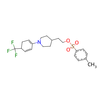 Cc1ccc(S(=O)(=O)OCCC2CCN(C3=CCC(C(F)(F)F)C=C3)CC2)cc1